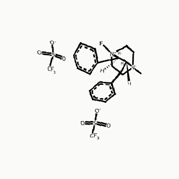 C[N+]12CC[N+](F)(CC1)[C@H](c1ccccc1)[C@H]2c1ccccc1.O=S(=O)([O-])C(F)(F)F.O=S(=O)([O-])C(F)(F)F